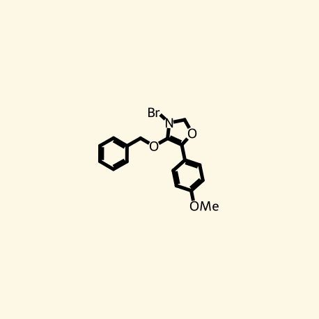 COc1ccc(C2=C(OCc3ccccc3)N(Br)CO2)cc1